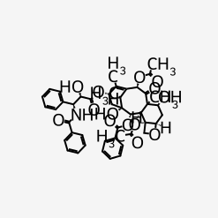 CC(=O)O[C@H]1C(=O)[C@@]2(C)[C@H]([C@H](OC(=O)c3ccccc3)[C@]3(O)C[C@H](OC(=O)[C@H](O)[C@@H](NC(=O)c4ccccc4)c4ccccc4)C(C)=C1[C@H]3C)[C@]1(OC(C)=O)CO[C@@H]1C[C@@H]2O